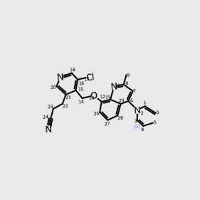 C=CN(/C=C\C)c1cc(C)nc2c(OCc3c(Cl)cncc3CCC#N)cccc12